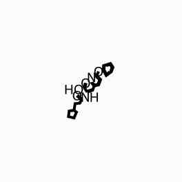 O=C(CCC1CCCC1)N/C(=C/c1ccc(Oc2ccccc2)nc1)C(=O)O